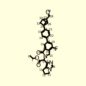 CCOC(=O)C(c1ncn2c1CCC2)N1Cc2c(F)cc(-c3ccc(C45CC(C=O)C(C4)C5)cc3)cc2C1=O